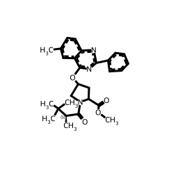 COC(=O)C1CC(Oc2nc(-c3ccccc3)nc3ccc(C)cc23)CN1C(=O)[C@@H](C)C(C)(C)C